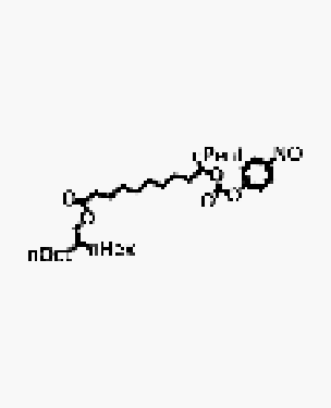 CCCCCCCCC(CCCCCC)COC(=O)CCCCCCCCC(CCCCC)OC(=O)Oc1ccc(N=O)cc1